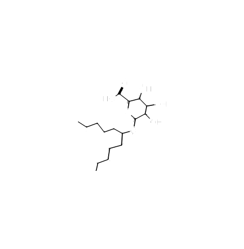 CCCCCC(CCCCC)OC1OC(C(=O)O)C(O)C(O)C1O